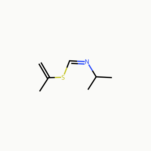 C=C(C)S/C=N\C(C)C